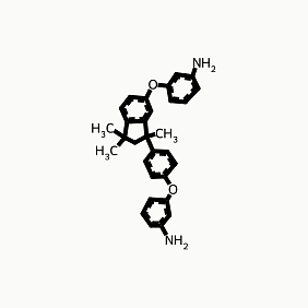 CC1(C)CC(C)(c2ccc(Oc3cccc(N)c3)cc2)c2cc(Oc3cccc(N)c3)ccc21